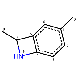 Cc1ccc2c(c1)C(C)N2